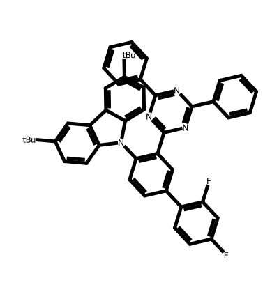 CC(C)(C)c1ccc2c(c1)c1cc(C(C)(C)C)ccc1n2-c1ccc(-c2ccc(F)cc2F)cc1-c1nc(-c2ccccc2)nc(-c2ccccc2)n1